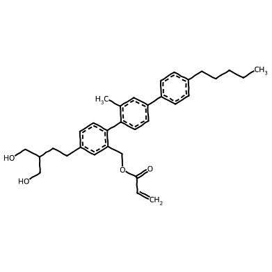 C=CC(=O)OCc1cc(CCC(CO)CO)ccc1-c1ccc(-c2ccc(CCCCC)cc2)cc1C